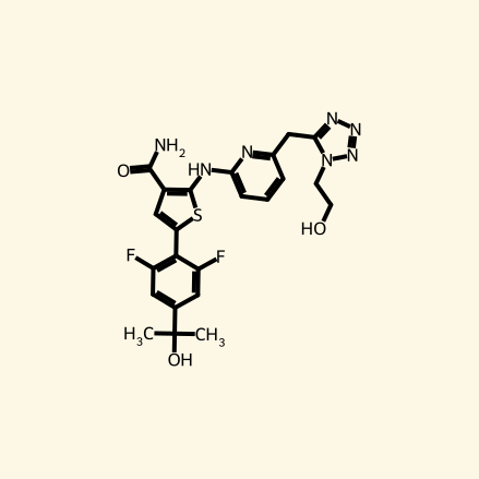 CC(C)(O)c1cc(F)c(-c2cc(C(N)=O)c(Nc3cccc(Cc4nnnn4CCO)n3)s2)c(F)c1